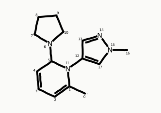 [CH2]C1=CC=CC(N2CCCC2)N1c1cnn(C)c1